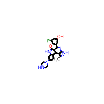 Cc1n[nH]c2nc(-c3cc(O)cc(F)c3)c3c(=O)[nH]c4cc(N5CCNCC5)ccc4c3c12